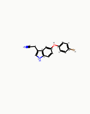 N#CCc1c[nH]c2ccc(Oc3ccc(Br)cc3)cc12